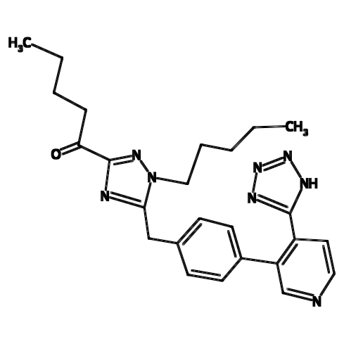 CCCCCn1nc(C(=O)CCCC)nc1Cc1ccc(-c2cnccc2-c2nnn[nH]2)cc1